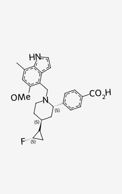 COc1cc(C)c2[nH]ccc2c1CN1CC[C@H](C2C[C@@H]2F)C[C@H]1c1ccc(C(=O)O)cc1